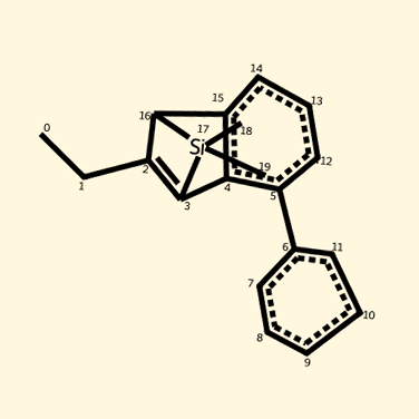 CCC1=C2c3c(-c4ccccc4)[c]ccc3C1[Si]2(C)C